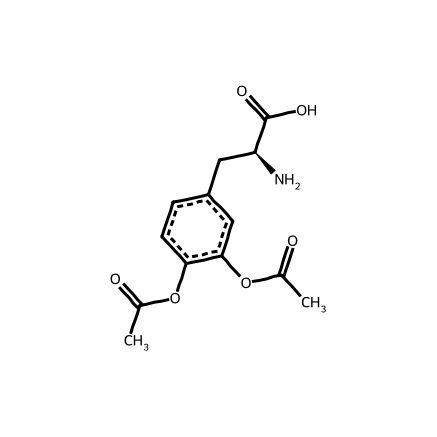 CC(=O)Oc1ccc(C[C@H](N)C(=O)O)cc1OC(C)=O